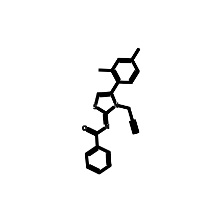 C#CCn1c(-c2ccc(C)cc2C)csc1=NC(=O)c1ccccc1